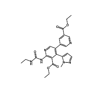 CCNC(=O)Nc1ncc(-c2cncc(C(=O)OCC)c2)c(-c2ccnn2C)c1C(=O)OCC